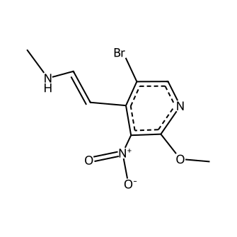 CN/C=C/c1c(Br)cnc(OC)c1[N+](=O)[O-]